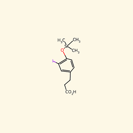 C[Si](C)(C)Oc1ccc(CCC(=O)O)cc1I